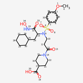 COc1ccc(S(=O)(=O)N(CCC(=O)N2CCC(C(=O)O)CC2)C(CC2CCCCC2)C(=O)NO)cc1